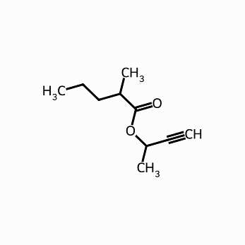 C#CC(C)OC(=O)C(C)CCC